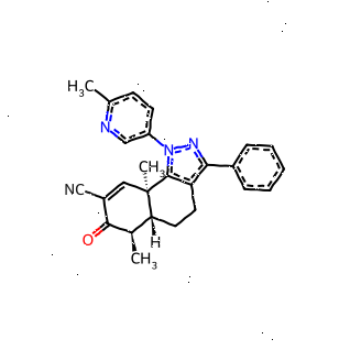 Cc1ccc(-n2nc(-c3ccccc3)c3c2[C@]2(C)C=C(C#N)C(=O)[C@H](C)[C@H]2CC3)cn1